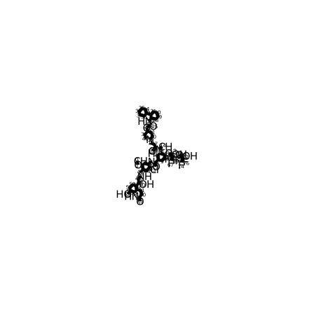 COc1cc(NC(=O)c2cccc(N(C)C(=O)CCN3CCC(OC(=O)Nc4ccccc4-c4ccccc4)CC3)c2)c(Cl)cc1CNC[C@H](O)c1ccc(O)c2[nH]c(=O)ccc12.O=C(O)C(F)(F)F.O=C(O)C(F)(F)F